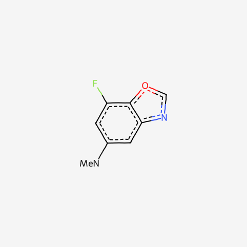 CNc1cc(F)c2ocnc2c1